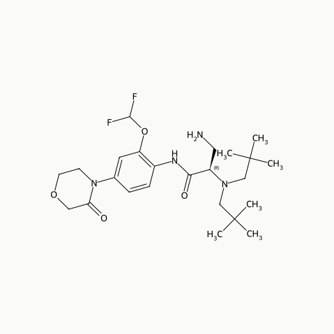 CC(C)(C)CN(CC(C)(C)C)[C@H](CN)C(=O)Nc1ccc(N2CCOCC2=O)cc1OC(F)F